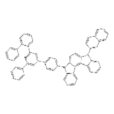 c1ccc(-c2cc(-c3ccc(-n4c5ccccc5c5c6c7ccccc7n(-c7ccc8ccccc8c7)c6ccc54)cc3)nc(-c3ccccc3-c3ccccc3)n2)cc1